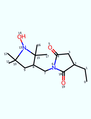 CCC1CC(=O)N(CC2CC(C)(C)N(O)C2(C)C)C1=O